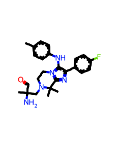 Cc1ccc(Nc2c(-c3ccc(F)cc3)nc3n2CCN(CC(C)(N)C=O)C3(C)C)cc1